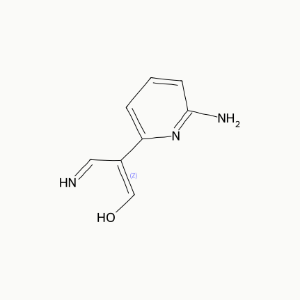 N=C/C(=C\O)c1cccc(N)n1